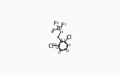 F[B-](F)(F)CCc1c(Cl)cccc1Cl